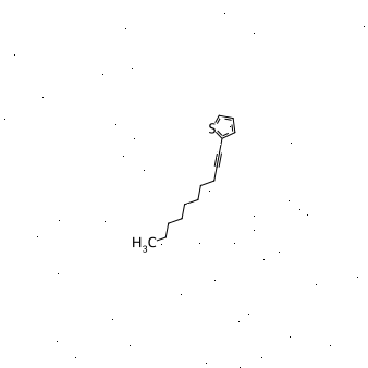 CCCCCCCCC#Cc1cccs1